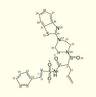 C=CCC(C(=O)NS(=O)(=O)/C=C/c1ccccc1)C(=O)N1CCN(c2nc3ccccc3s2)CC1